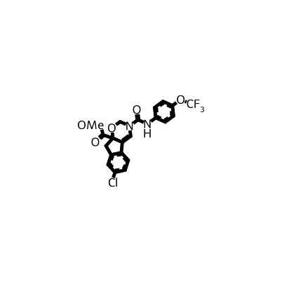 COC(=O)C12Cc3cc(Cl)ccc3C1=CN(C(=O)Nc1ccc(OC(F)(F)F)cc1)CO2